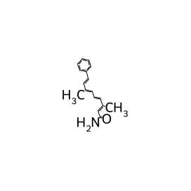 CC(C=Cc1ccccc1)=CC=CC(C)=CC(N)=O